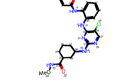 C=CC(=O)Nc1ccccc1Nc1nc(NC2CCCC(C(=O)NOC)C2)ncc1Cl